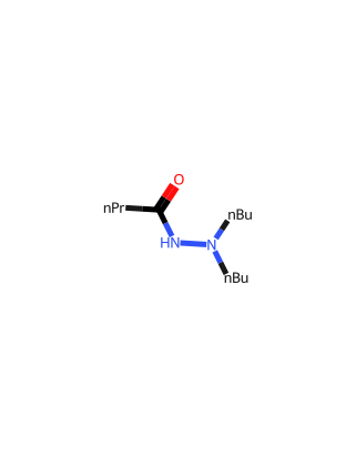 CCCCN(CCCC)NC(=O)CCC